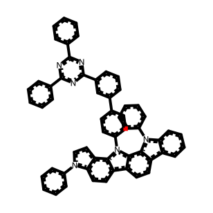 c1ccc(-c2nc(-c3ccccc3)nc(-c3cccc(-c4ccc(-n5c6c(ccc7c6ccn7-c6ccccc6)c6ccc7c8ccccc8n(-c8ccccc8)c7c65)cc4)c3)n2)cc1